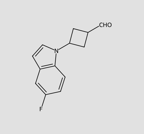 O=CC1CC(n2ccc3cc(F)ccc32)C1